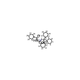 O=C([O-])/C(=C\[P+](c1ccccc1)(c1ccccc1)c1ccccc1)NC(=O)c1ccccc1